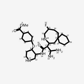 COC(=O)C1CCC(OC2CCNCC2NC(=O)C(C(N)N)C2CC3(CCCCC3)CCC(F)CN2)CC1